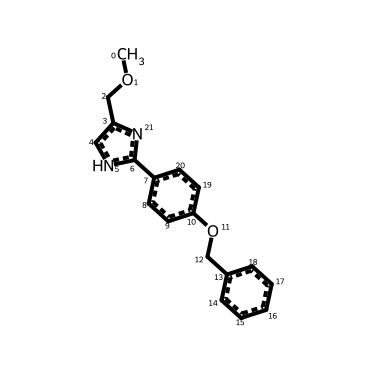 COCc1c[nH]c(-c2ccc(OCc3ccccc3)cc2)n1